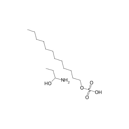 CCC(N)O.CCCCCCCCCCCCOS(=O)(=O)O